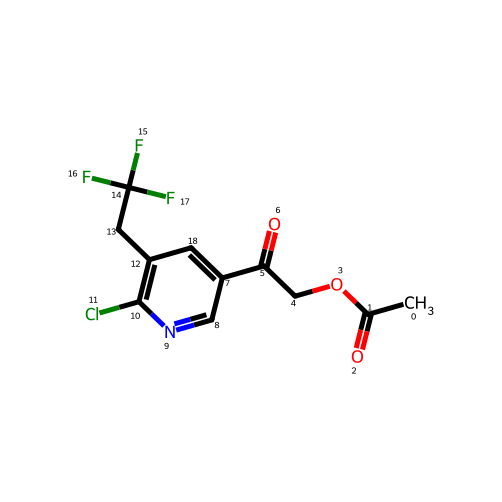 CC(=O)OCC(=O)c1cnc(Cl)c(CC(F)(F)F)c1